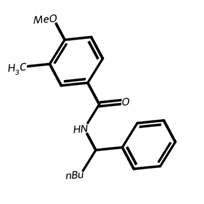 CCCCC(NC(=O)c1ccc(OC)c(C)c1)c1ccccc1